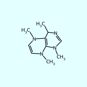 CC1N=CN(C)C2=C1N(C)C=CN2C